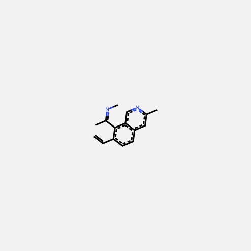 C=Cc1ccc2cc(C)ncc2c1/C(C)=N\C